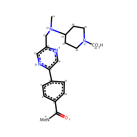 CNC(=O)c1ccc(-c2cnc(CN(C)C3CCN(C(=O)O)CC3)cn2)cc1